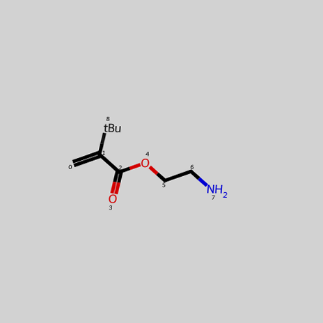 C=C(C(=O)OCCN)C(C)(C)C